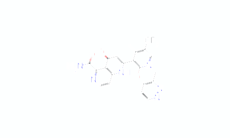 Cc1nnccc1Oc1ncc(C(F)(F)F)c(C)c1-c1cc(=O)c2c(C(N)=O)nccc2[nH]1